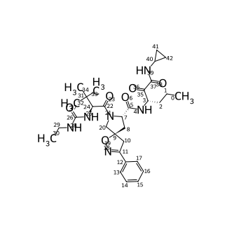 CCC[C@H](NC(=O)[C@@H]1C[C@]2(CC(c3ccccc3)=NO2)CN1C(=O)[C@@H](NC(=O)NCC)C(C)(C)C)C(=O)C(=O)NC1CC1